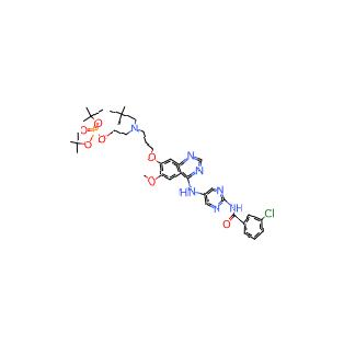 COc1cc2c(Nc3cnc(NC(=O)c4cccc(Cl)c4)nc3)ncnc2cc1OCCCN(CCOP(=O)(OC(C)(C)C)OC(C)(C)C)CC(C)(C)C